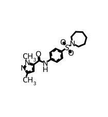 Cc1cc(C(=O)Nc2ccc(S(=O)(=O)N3CCCCCC3)cc2)n(C)n1